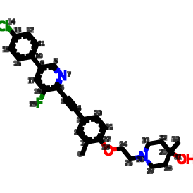 Cc1cc(C#Cc2ncc(-c3ccc(Cl)cc3)cc2F)ccc1OCCN1CCC(C)(O)CC1